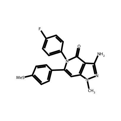 CSc1ccc(-c2cc3c(c(N)nn3C)c(=O)n2-c2ccc(F)cc2)cc1